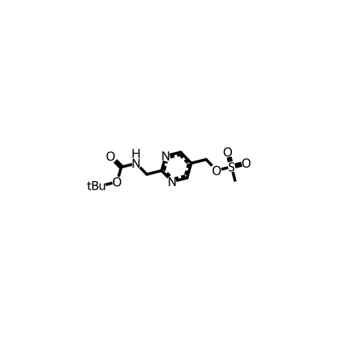 CC(C)(C)OC(=O)NCc1ncc(COS(C)(=O)=O)cn1